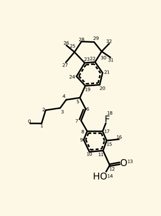 CCCCCC(C=Cc1ccc(C(=O)O)c(C)c1F)c1ccc2c(c1)C(C)(C)CCC2(C)C